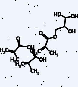 C=C(C)C(=O)O.C=C(C)C(=O)O.C=C(C)C(=O)OCC(O)C(O)O